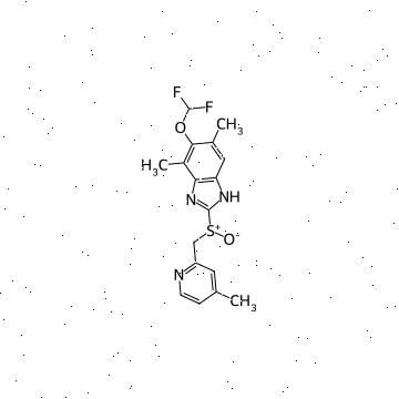 Cc1ccnc(C[S+]([O-])c2nc3c(C)c(OC(F)F)c(C)cc3[nH]2)c1